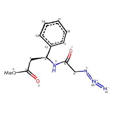 COC(=O)C[C@H](NC(=O)CN=[N+]=[N-])c1ccccc1